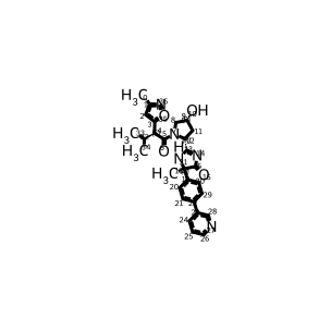 Cc1cc([C@@H](C(=O)N2C[C@H](O)C[C@@H]2C2=NC(=O)[C@](C)(c3ccc(-c4cccnc4)cc3)N2)C(C)C)on1